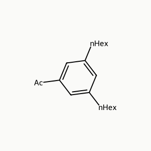 CCCCCCc1cc(CCCCCC)cc(C(C)=O)c1